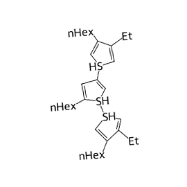 CCCCCCC1=C[SH](C2=C[SH]([SH]3C=C(CC)C(CCCCCC)=C3)C(CCCCCC)=C2)C=C1CC